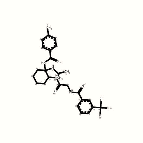 Cc1ccc(C(=S)NC2(NC(C)C)CCCCC2NC(=O)CNC(=O)c2cccc(C(F)(F)F)c2)cc1